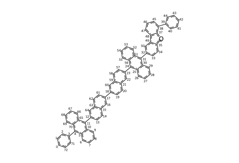 c1ccc(-c2c3ccccc3c(-c3ccc4cc(-c5ccc6cc(-c7c8ccccc8c(-c8ccc9oc%10c(-c%11ccccc%11)cccc%10c9c8)c8ccccc78)ccc6c5)ccc4c3)c3ccccc23)cc1